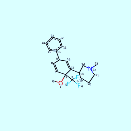 COC1(C(F)(F)F)C=CC(c2ccccc2)C=C1C1CCCN(C)C1